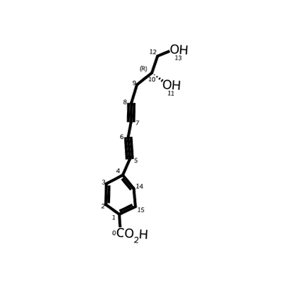 O=C(O)c1ccc(C#CC#CC[C@@H](O)CO)cc1